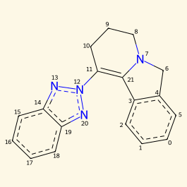 c1ccc2c(c1)CN1CCCC(n3nc4ccccc4n3)=C21